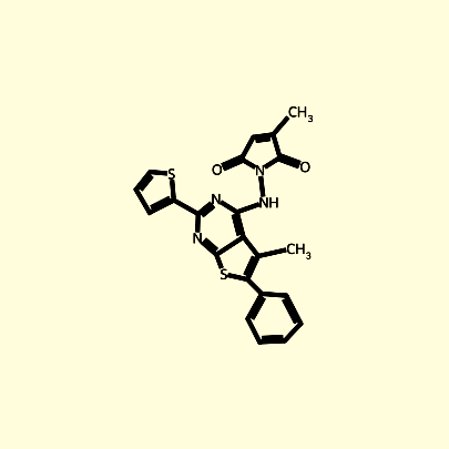 CC1=CC(=O)N(Nc2nc(-c3cccs3)nc3sc(-c4ccccc4)c(C)c23)C1=O